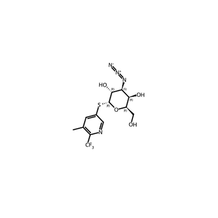 Cc1cc(S[C@H]2O[C@H](CO)[C@H](O)[C@H](N=[N+]=[N-])[C@H]2O)cnc1C(F)(F)F